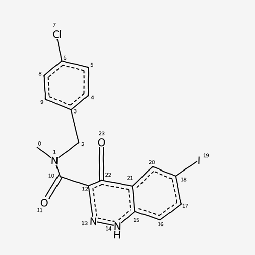 CN(Cc1ccc(Cl)cc1)C(=O)c1n[nH]c2ccc(I)cc2c1=O